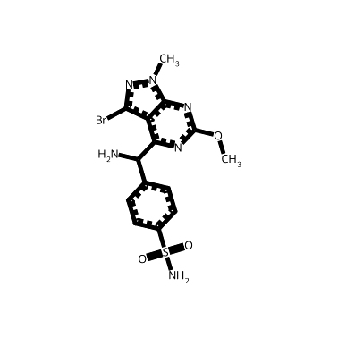 COc1nc(C(N)c2ccc(S(N)(=O)=O)cc2)c2c(Br)nn(C)c2n1